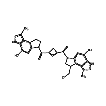 Cc1c[nH]c2c(O)cc3c(c12)CCN3C(=O)C12CC(C(=O)N3CC(CCl)c4c3cc(O)c3[nH]cc(C)c43)(C1)C2